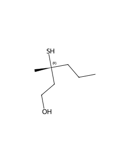 CCC[C@@](C)(S)CCO